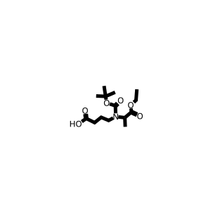 CCOC(=O)C(C)N(CCCC(=O)O)C(=O)OC(C)(C)C